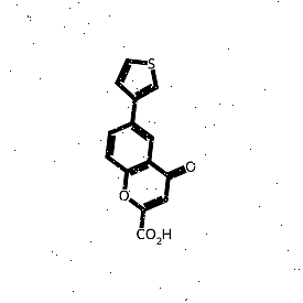 O=C(O)c1cc(=O)c2cc(-c3ccsc3)ccc2o1